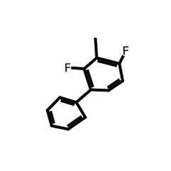 Cc1c(F)ccc(-c2ccccc2)c1F